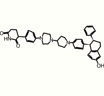 O=C1CCC(c2ccc(N3CCN(C4CCN(c5ccc([C@@H]6c7ccc(O)cc7CC[C@@H]6c6ccccc6)cc5)CC4)CC3)cc2)C(=O)N1